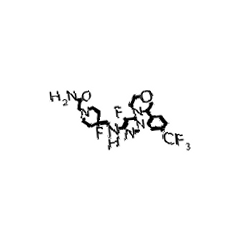 NC(=O)CN1CCC(F)(CNc2ncnc(N3CCOCC3c3ccc(C(F)(F)F)cc3)c2F)CC1